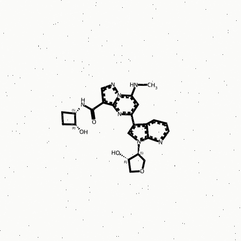 CNc1cc(-c2cn([C@H]3COC[C@@H]3O)c3ncccc23)nc2c(C(=O)N[C@H]3CC[C@H]3O)cnn12